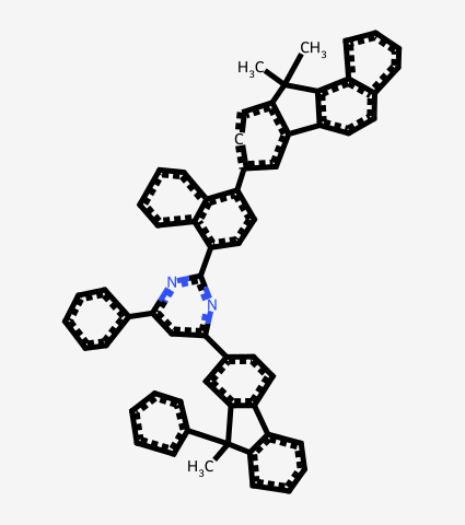 CC1(C)c2ccc(-c3ccc(-c4nc(-c5ccccc5)cc(-c5ccc6c(c5)C(C)(c5ccccc5)c5ccccc5-6)n4)c4ccccc34)cc2-c2ccc3ccccc3c21